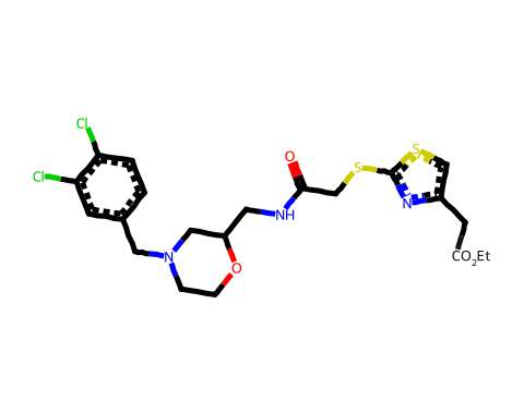 CCOC(=O)Cc1csc(SCC(=O)NCC2CN(Cc3ccc(Cl)c(Cl)c3)CCO2)n1